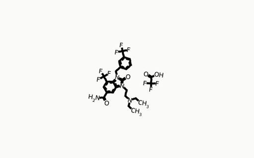 CCN(CC)CCn1c(=O)n(Cc2cccc(C(F)(F)F)c2)c2c(C(F)(F)F)cc(C(N)=O)cc21.O=C(O)C(F)(F)F